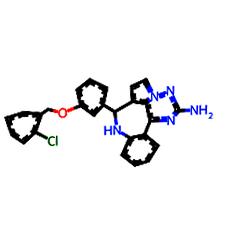 Nc1nc2c3c(ccn3n1)C(c1cccc(OCc3ccccc3Cl)c1)Nc1ccccc1-2